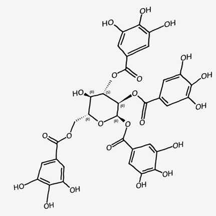 O=C(OC[C@H]1O[C@H](OC(=O)c2cc(O)c(O)c(O)c2)[C@H](OC(=O)c2cc(O)c(O)c(O)c2)[C@@H](OC(=O)c2cc(O)c(O)c(O)c2)[C@@H]1O)c1cc(O)c(O)c(O)c1